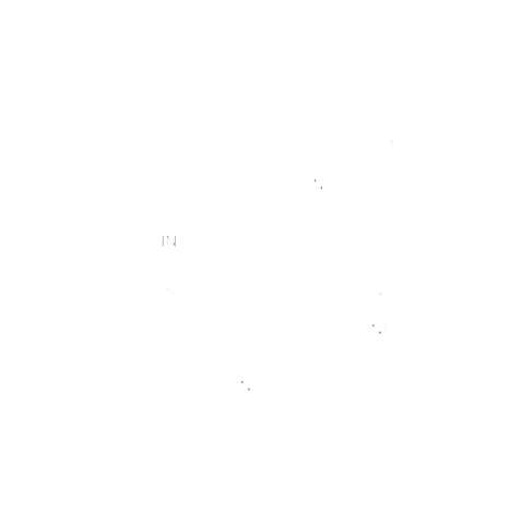 CC(C)CN1CCCNCCCNCCNCCC1